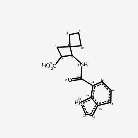 O=C(NC1C(C(=O)O)CC12CCC2)c1cccc2cc[nH]c12